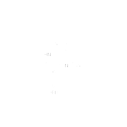 O=C(COP)Cn1c(=O)c2ccc(F)cc2c2c(=O)[nH]ccc21